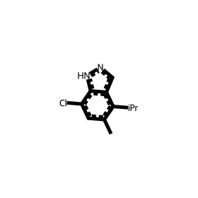 Cc1cc(Cl)c2[nH]ncc2c1C(C)C